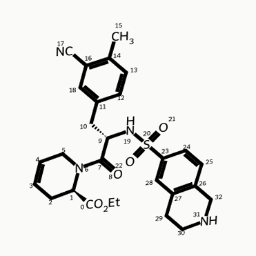 CCOC(=O)[C@H]1CC=CCN1C(=O)[C@H](Cc1ccc(C)c(C#N)c1)NS(=O)(=O)c1ccc2c(c1)CCNC2